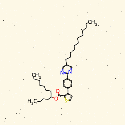 CCCCCCCCCCCCc1cnc(-c2ccc(-c3ccsc3C(=O)OC(CCCC)CCCCCCC)cc2)nc1